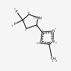 Cc1noc(C2CC(F)(F)CN2)n1